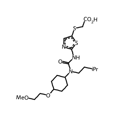 COCCOC1CCC(N(CCC(C)C)C(=O)Nc2ncc(SCC(=O)O)s2)CC1